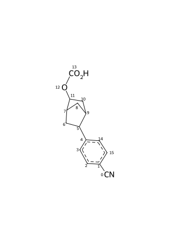 N#Cc1ccc(C2CC3CC2CC3OC(=O)O)cc1